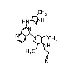 CCC1CN(c2nc(Nc3cc(C)[nH]n3)cc3ncccc23)CC(CC)C1NCCC#N